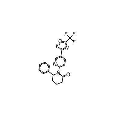 O=C1CCCC(c2ccccc2)N1c1ccc(-c2noc(C(F)(F)F)n2)cn1